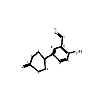 C=C1CCC(c2ccc(O)c(C=O)c2)CC1